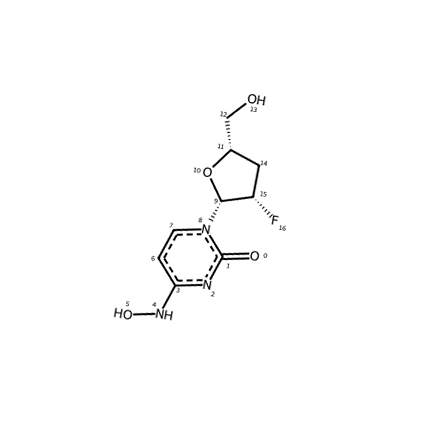 O=c1nc(NO)ccn1[C@@H]1O[C@H](CO)C[C@@H]1F